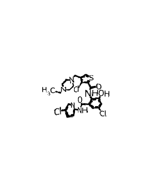 CCN1CCN(Cc2csc(C(=O)Nc3c(O)cc(Cl)cc3C(=O)Nc3ccc(Cl)cn3)c2Cl)CC1